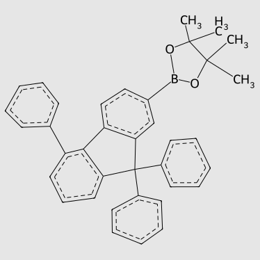 CC1(C)OB(c2ccc3c(c2)C(c2ccccc2)(c2ccccc2)c2cccc(-c4ccccc4)c2-3)OC1(C)C